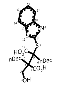 CCCCCCCCCCC(CO)(C(=O)O)C(CCCCCCCCCC)(Sc1nc2ccccc2s1)C(=O)O